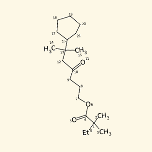 CCC(C)(C)C(=O)OCCCC(=O)CC(C)(C)C1CCCCC1